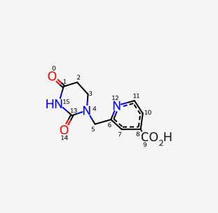 O=C1CCN(Cc2cc(C(=O)O)ccn2)C(=O)N1